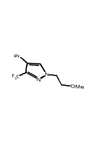 COCCn1cc(C(C)C)c(C(F)(F)F)n1